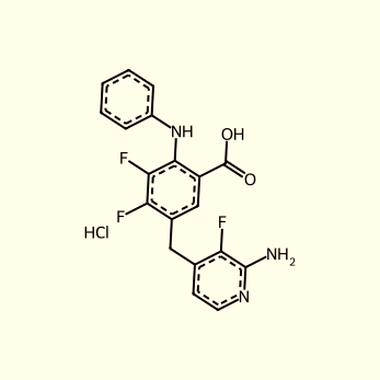 Cl.Nc1nccc(Cc2cc(C(=O)O)c(Nc3ccccc3)c(F)c2F)c1F